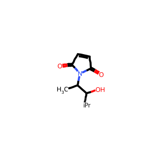 CC(C)C(O)C(C)N1C(=O)C=CC1=O